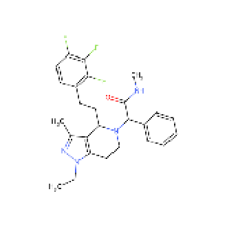 CCn1nc(C)c2c1CCN(C(C(=O)NC)c1ccccc1)C2CCc1ccc(F)c(F)c1F